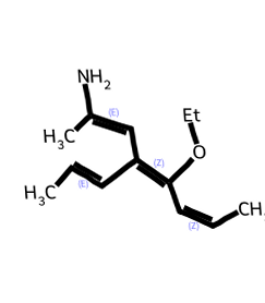 C\C=C/C(OCC)=C(\C=C\C)/C=C(\C)N